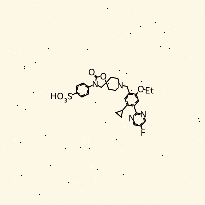 CCOc1cc(-c2ncc(F)cn2)c(C2CC2)cc1CN1CCC2(CC1)CN(c1ccc(S(=O)(=O)O)cc1)C(=O)O2